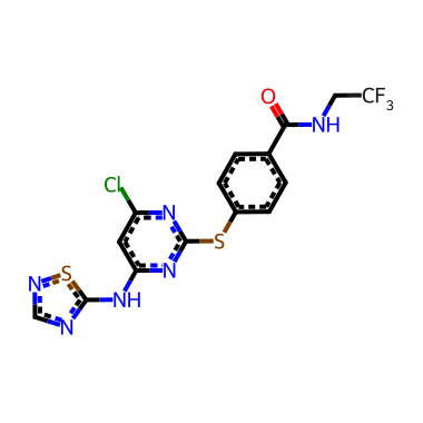 O=C(NCC(F)(F)F)c1ccc(Sc2nc(Cl)cc(Nc3ncns3)n2)cc1